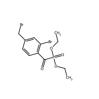 CCOP(=O)(OCC)C(=O)c1ccc(CBr)cc1Br